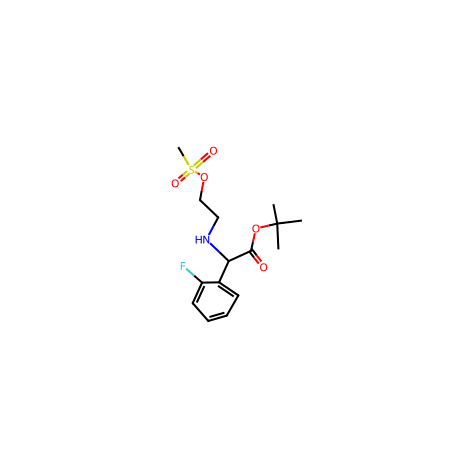 CC(C)(C)OC(=O)C(NCCOS(C)(=O)=O)c1ccccc1F